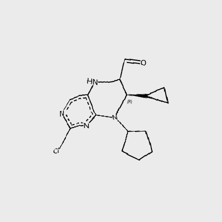 O=CC1Nc2cnc(Cl)nc2N(C2CCCC2)[C@@H]1C1CC1